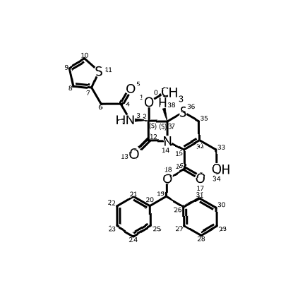 CO[C@@]1(NC(=O)Cc2cccs2)C(=O)N2C(C(=O)OC(c3ccccc3)c3ccccc3)=C(CO)CS[C@H]21